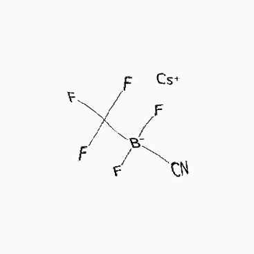 N#C[B-](F)(F)C(F)(F)F.[Cs+]